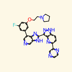 Fc1cc(OCCN2CCCC2)cc(-c2cncc3[nH]c(-c4n[nH]c5ccc(-c6cnccn6)nc45)nc23)c1